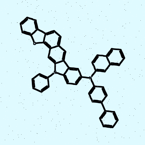 c1ccc(-c2ccc(N(c3ccc4ccccc4c3)c3ccc4c(c3)c3cc5ccc6c7ccccc7oc6c5cc3n4-c3ccccc3)cc2)cc1